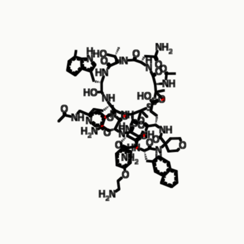 CC(=O)NCCCC[C@@H]1NC(O)[C@H](Cc2c[nH]c3c(C)cccc23)NC(=O)[C@H]([C@@H](C)O)NC(=O)[C@H](CC(N)=O)NC(=O)[C@@H](NC(C)=O)C(C)(C)SSC(C)(C)[C@@H](C(=O)N[C@@H](Cc2ccc(OCCN)cc2)C(=O)N[C@@H](Cc2ccc3ccccc3c2)C(=O)NC2(C(=O)N[C@@H](CCC(=O)O)C(=O)N[C@@H](CC(N)=O)C(=O)N[C@@H](Cc3cccnc3)C(=O)N(C)CC(N)=O)CCOCC2)NC1=O